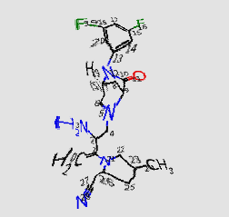 C=C(C(N)CN1C[C@@H]2CC1C(=O)N2c1cc(F)cc(F)c1)N1CC(C)CC1C#N